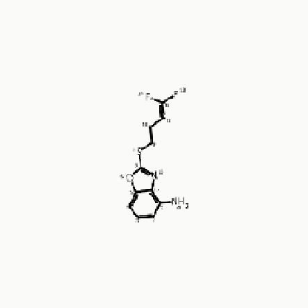 Nc1cccc2oc(SCCC=C(F)F)nc12